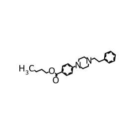 CCCCOC(=O)c1ccc(N2CCN(CCc3ccccc3)CC2)cc1